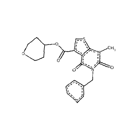 Cn1c(=O)n(Cc2ccccc2)c(=O)c2c(C(=O)OC3CCOCC3)csc21